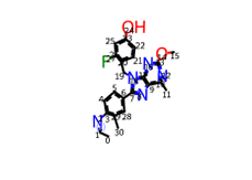 C/C=N\c1ccc(-c2nc3c(C)nc(OC)nc3n2Cc2ccc(O)cc2F)cc1C